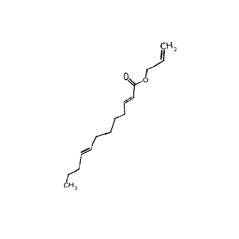 C=CCOC(=O)C=CCCCCC=CCCC